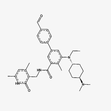 CCN(c1cc(-c2ccc(C=O)cc2)cc(C(=O)NCc2c(C)cc(C)[nH]c2=O)c1C)[C@H]1CC[C@H](N(C)C)CC1